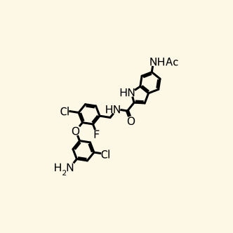 CC(=O)Nc1ccc2cc(C(=O)NCc3ccc(Cl)c(Oc4cc(N)cc(Cl)c4)c3F)[nH]c2c1